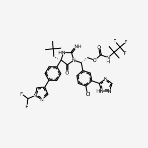 CC(C)(C)C[C@]1(c2ccc(-c3cnn(C(F)F)c3)cc2)NC(=N)N([C@H](COC(=O)NC(C)(C)C(F)(F)F)c2ccc(Cl)c(-c3ncn[nH]3)c2)C1=O